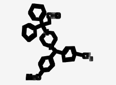 COc1ccc(C(c2ccc(C(F)(F)F)cc2)N2CCN(C(CC=O)(c3ccccc3)c3ccccc3)CC2)cc1